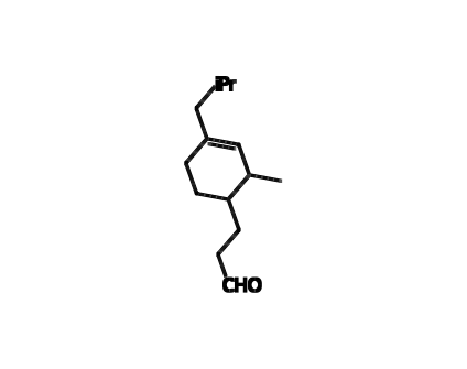 CC(C)CC1=CC(C)C(CCC=O)CC1